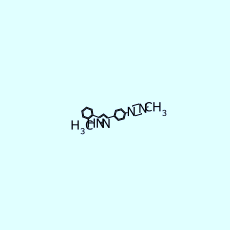 Cc1ccccc1-c1cc(-c2ccc(N3CCN(C)CC3)cc2)n[nH]1